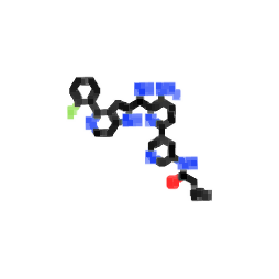 CC(C)(C)CC(=O)Nc1cncc(-c2ccc(N)c(C(=N)c3cc4c(-c5ccccc5F)nccc4[nH]3)n2)c1